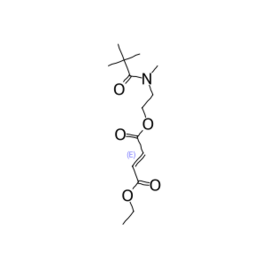 CCOC(=O)/C=C/C(=O)OCCN(C)C(=O)C(C)(C)C